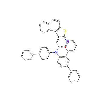 c1ccc(-c2ccc(N(c3cnc4sc5ccc6ccccc6c5c4c3)c3ccc(-c4ccccc4)cc3-c3ccccc3)cc2)cc1